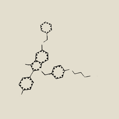 Cc1c(-c2ccc(F)cc2)n(Cc2ccc(OCCCC(=O)O)cc2)c2ccc(OCc3ccccc3)cc12